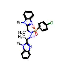 CCn1c([C@@H](C)N(N[C@H](C)c2nc3ccccc3n2CC)S(=O)(=O)c2ccc(Cl)cc2)nc2ccccc21